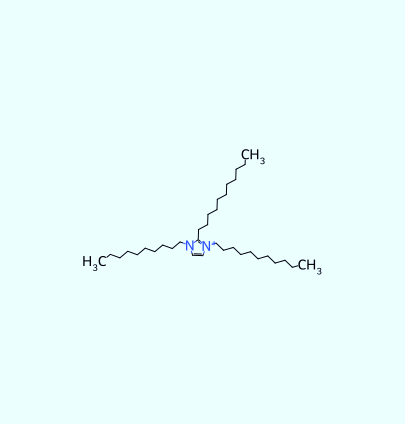 CCCCCCCCCCCc1n(CCCCCCCCCC)cc[n+]1CCCCCCCCCCC